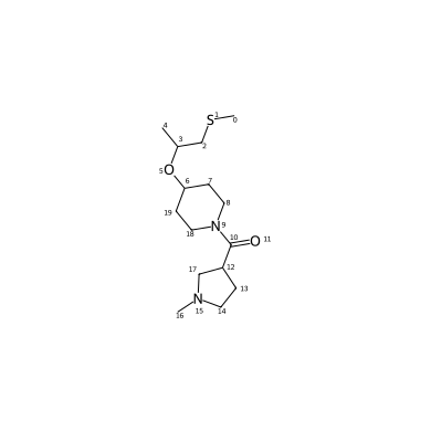 CSCC(C)OC1CCN(C(=O)C2CCN(C)C2)CC1